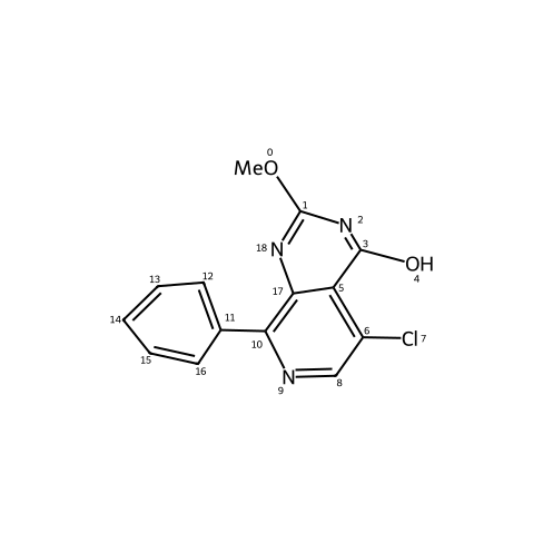 COc1nc(O)c2c(Cl)cnc(-c3ccccc3)c2n1